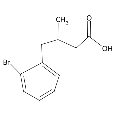 CC(CC(=O)O)Cc1ccccc1Br